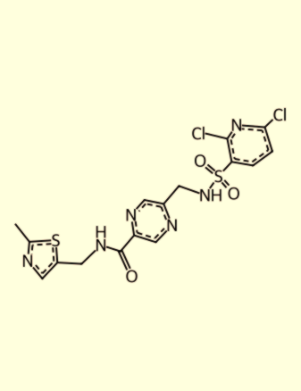 Cc1ncc(CNC(=O)c2cnc(CNS(=O)(=O)c3ccc(Cl)nc3Cl)cn2)s1